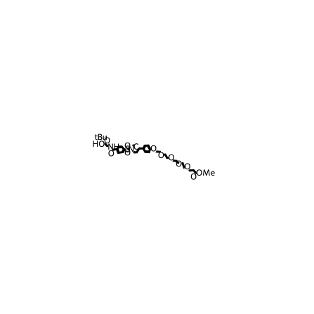 COC(=O)CCOCCOCCOCCOCCOc1ccc(C2CCN(S(=O)(=O)c3ccc(C(=O)NCC(O)OC(C)(C)C)cc3)CC2)cc1